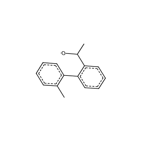 Cc1ccccc1-c1ccccc1C(C)[O]